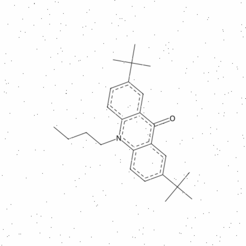 CCCCn1c2ccc(C(C)(C)C)cc2c(=O)c2cc(C(C)(C)C)ccc21